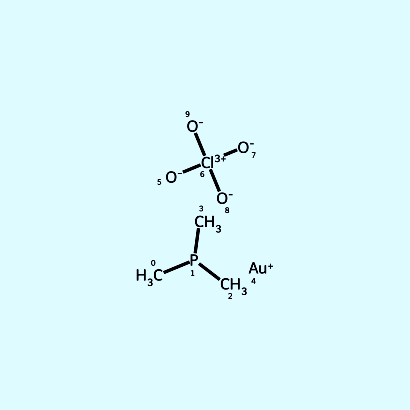 CP(C)C.[Au+].[O-][Cl+3]([O-])([O-])[O-]